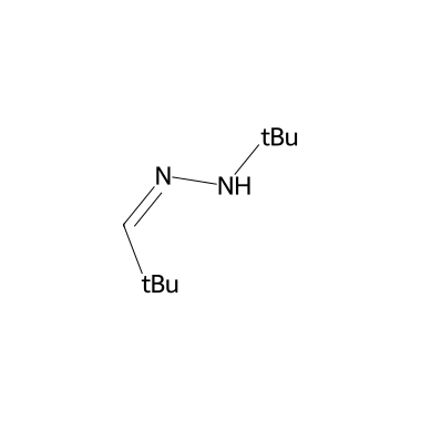 CC(C)(C)/C=N\NC(C)(C)C